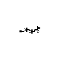 C#CCOC(C)(C)COC(C)(C)CCC(=O)C(C)C